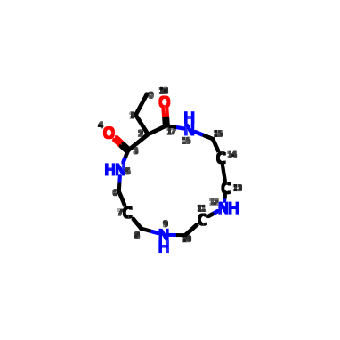 CCC1C(=O)NCCCNCCNCCCNC1=O